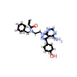 C=CC(=O)N(CCn1nc(-c2ccc(O)cc2)c2c(N)ncnc21)Cc1ccccc1